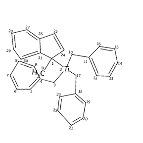 C[C]1([Ti]([CH2]c2ccccc2)([CH2]c2ccccc2)[CH2]c2ccccc2)C=Cc2ccccc21